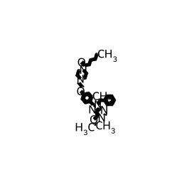 CCCCCC(=O)N1CCN(CCOc2ccc(-c3nc4c(OC(C)C)ncnc4n3Cc3ccccc3)c(C)c2)CC1